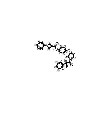 O=C(Nc1ccc(O[C@@H]2CCN(C(=O)C(F)(F)c3ccccc3)C2)cc1)C1CN(c2cccnn2)C1